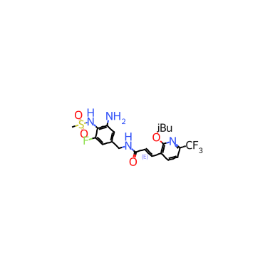 CCC(C)Oc1nc(C(F)(F)F)ccc1/C=C/C(=O)NCc1cc(N)c(NS(C)(=O)=O)c(F)c1